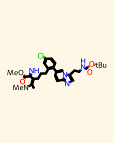 CN/C(C)=C(/CCCc1cc(Cl)ccc1-c1ccc2ncc(CCNC(=O)OC(C)(C)C)n2c1)C(=N)C(=O)OC